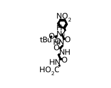 CC(C)(C)OC(=O)N[C@@H](Cc1ccc([N+](=O)[O-])cc1)C(=O)NCC(=O)NCC(=O)NCC(=O)O